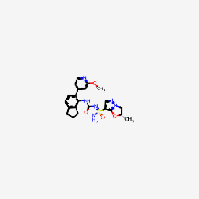 COc1cc(-c2ccc3c(c2NC(=O)N=[S@@](N)(=O)c2cnn4c2O[C@@H](C)C4)CCC3)ccn1